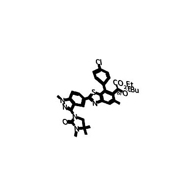 CCOC(=O)[C@@H](OC(C)(C)C)c1c(C)cc2nc(-c3ccc4c(c3)c(N3CC(C)(C)N(C)C3=O)nn4C)sc2c1-c1ccc(Cl)cc1